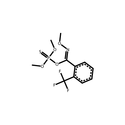 CON=C(OP(=S)(OC)OC)c1ccccc1C(F)(F)F